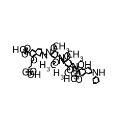 COc1cc(N=Nc2cc(OC)c(N=Nc3c(S(=O)(=O)O)cc4cc(Nc5ccccc5)ccc4c3O)cc2OC)c(OC)cc1N=Nc1ccc2cc(S(=O)(=O)O)cc(OCCCS(=O)(=O)O)c2c1